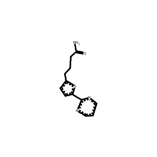 NC(=O)CCCc1ccc(-c2ncccn2)s1